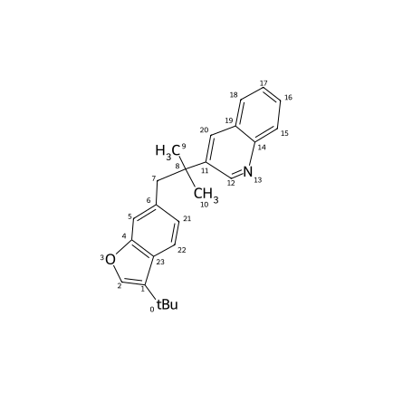 CC(C)(C)c1coc2cc(CC(C)(C)c3cnc4ccccc4c3)ccc12